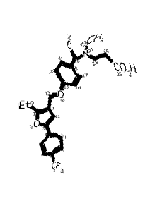 CCc1oc(-c2ccc(C(F)(F)F)cc2)cc1COc1ccc(C(=O)N(C)CCC(=O)O)cc1